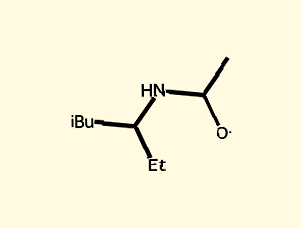 CCC(C)C(CC)NC(C)[O]